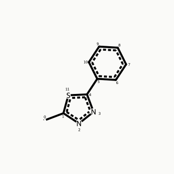 [CH2]c1nnc(-c2ccccc2)s1